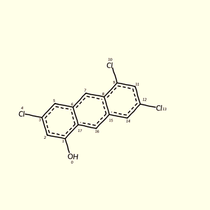 Oc1cc(Cl)cc2cc3c(Cl)cc(Cl)cc3cc12